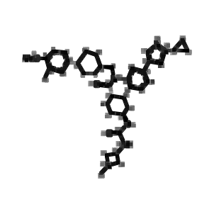 COc1ccc([C@H]2CC[C@H](CN(c3cccc(-c4cnn(C5CC5)c4)c3)C(=O)[C@H]3CC[C@H](OC(=O)NC4CN(C)C4)CC3)CC2)cc1C